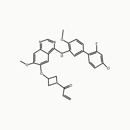 C=CC(=O)N1CC(Oc2cc3c(Nc4cc(-c5ccc(Cl)cc5F)ccc4OC)ncnc3cc2OC)C1